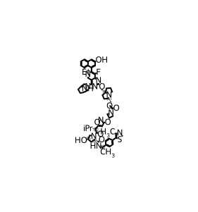 CCc1cccc2cc(O)cc(-c3ncc4c(N5CC6CCC(C5)N6)nc(OC[C@]56CCCN5[C@H](COC(=O)N5CC(Oc7cc([C@H](C(=O)N8C[C@H](O)C[C@H]8C(=O)N[C@@H](C)c8ccc(-c9scnc9C)cc8)C(C)C)on7)C5)CC6)nc4c3F)c12